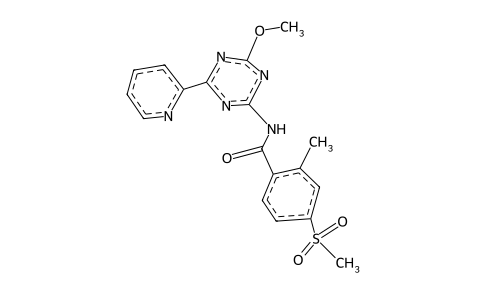 COc1nc(NC(=O)c2ccc(S(C)(=O)=O)cc2C)nc(-c2ccccn2)n1